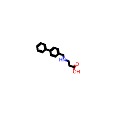 O=C(O)CCNCc1ccc(-c2ccccc2)cc1